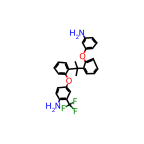 CC(C)(c1ccccc1Oc1cccc(N)c1)c1ccccc1Oc1ccc(N)c(C(F)(F)F)c1